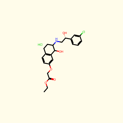 CCOC(=O)COc1ccc2c(c1)C(O)C(NC[C@H](O)c1cccc(Cl)c1)CC2.Cl